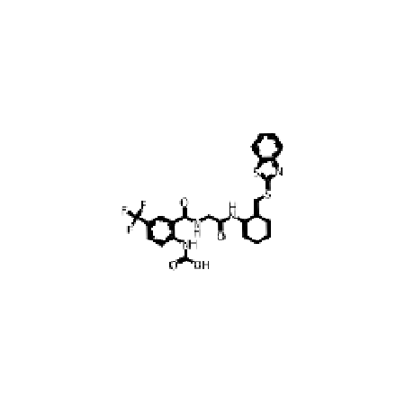 O=C(O)Nc1ccc(C(F)(F)F)cc1C(=O)NCC(=O)NC1CCCCC1CSc1nc2ccccc2s1